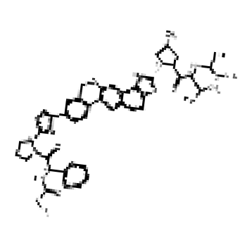 COC(=O)N[C@@H](C(=O)N1CCC[C@H]1c1ncc(-c2ccc3c(c2)COc2cc4c(ccc5nc([C@@H]6C[C@H](C)CN6C(=O)[C@@H](NC(O)OC)C(C)C)[nH]c54)cc2-3)[nH]1)c1ccccc1